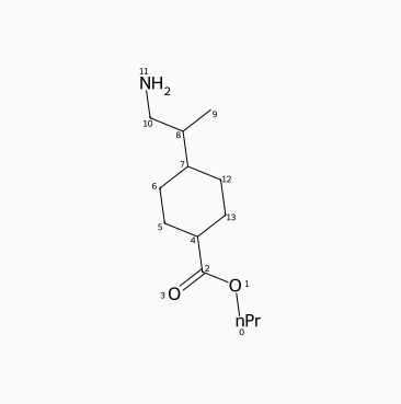 CCCOC(=O)C1CCC(C(C)CN)CC1